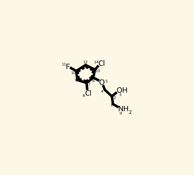 NCC(O)COc1c(Cl)cc(F)cc1Cl